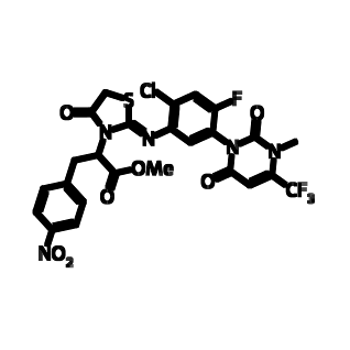 COC(=O)C(Cc1ccc([N+](=O)[O-])cc1)N1C(=O)CS/C1=N\c1cc(-n2c(=O)cc(C(F)(F)F)n(C)c2=O)c(F)cc1Cl